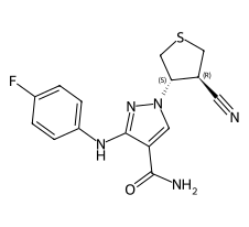 N#C[C@@H]1CSC[C@H]1n1cc(C(N)=O)c(Nc2ccc(F)cc2)n1